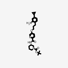 CC(C)(C)OC(=O)N1CCC[C@H](NC(=O)c2ccc(OCCCc3ccc(C4CC4)cc3N)cn2)C1